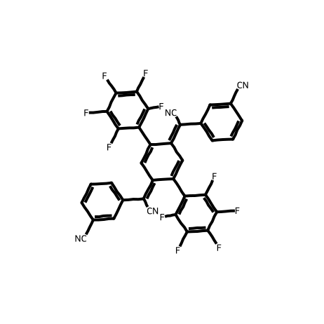 N#C/C(c1cccc(C#N)c1)=c1/cc(-c2c(F)c(F)c(F)c(F)c2F)/c(=C(\C#N)c2cccc(C#N)c2)cc1-c1c(F)c(F)c(F)c(F)c1F